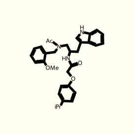 COc1ccccc1CN(CC(Cc1c[nH]c2ccccc12)NC(=O)COc1ccc(C(C)C)cc1)C(C)=O